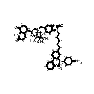 CC(C)(C)[Si](C)(C)O[C@H](CNCc1ccc2c(c1)oc(=O)n2CCCCCc1ccc(-c2ccccc2)c(N(C(=O)O)C2CCC(N)CC2)c1)c1ccc(O)c2[nH]c(=O)ccc12